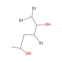 CCC(CC)C(O)C(CC)CC(C)O